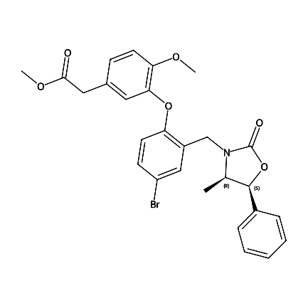 COC(=O)Cc1ccc(OC)c(Oc2ccc(Br)cc2CN2C(=O)O[C@@H](c3ccccc3)[C@H]2C)c1